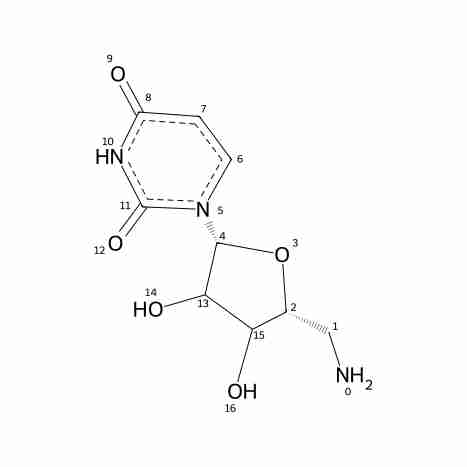 NC[C@H]1O[C@@H](n2ccc(=O)[nH]c2=O)C(O)C1O